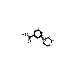 O=C(O)c1cccc(N2CCOCC2)c1